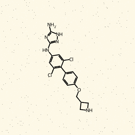 Nc1nc(Nc2cc(Cl)c(-c3ccc(OCC4CNC4)cc3)c(Cl)c2)n[nH]1